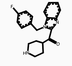 O=C(c1nc2ccccc2n1Cc1ccc(F)cc1)C1CCNCC1